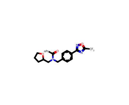 CCCC(=O)N(Cc1ccc(-c2noc(C(F)(F)F)n2)cc1)CC1CCCO1